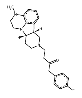 CN1CCN2c3c(cccc31)[C@@H]1CN(CCC(=O)Cc3ccc(F)cc3)CC[C@@H]12